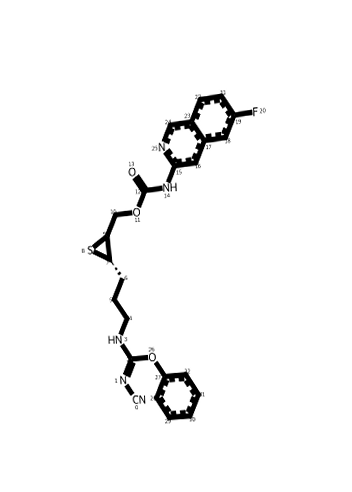 N#C/N=C(/NCCC[C@@H]1SC1COC(=O)Nc1cc2cc(F)ccc2cn1)Oc1ccccc1